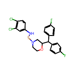 Fc1ccc(C(c2ccc(F)cc2)C2CN(SNc3ccc(Cl)c(Cl)c3)CCO2)cc1